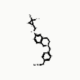 CC(=O)NCc1ccc(CN2CCc3cc(OCC4CC4(F)F)ccc3C2)cc1